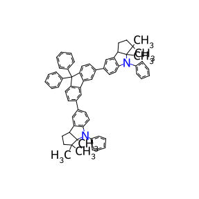 CC1(C)CCC2c3cc(-c4ccc5c(c4)-c4cc(-c6ccc7c(c6)C6CCC(C)(C)C6(C)N7c6ccccc6)ccc4C5(c4ccccc4)c4ccccc4)ccc3N(c3ccccc3)C21C